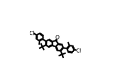 Cc1cc(Cl)ccc1-c1cc2c(cc1C(C)(C)C)-c1cc(C(C)(C)C)c(-c3ccc(Cl)cc3C)cc1C2=O